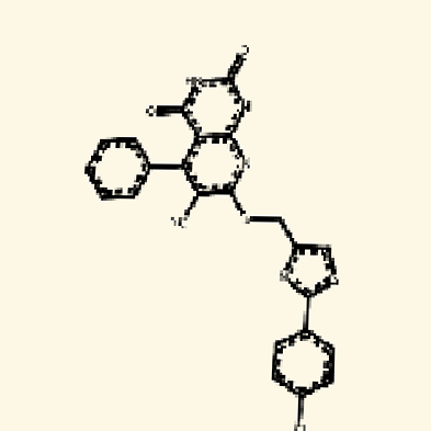 N#Cc1c(SCc2csc(-c3ccc(Cl)cc3)n2)nc2[nH]c(=O)[nH]c(=O)c2c1-c1ccccc1